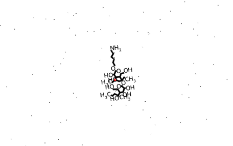 CCCCC(CC)(OC1OC(CO)C(C(C)(O)CCC)C(O)C1O)C1C(CO)OC(OCCCCCCN)C(O)C1O